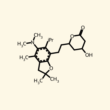 Cc1c2c(c(CCC3CC(O)CC(=O)O3)c(C(C)C)c1N(C)C)OC(C)(C)C2